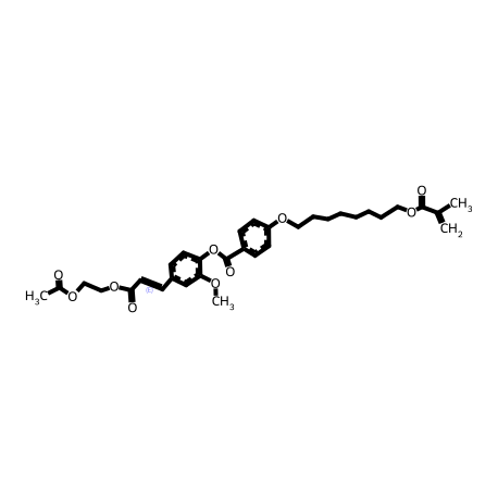 C=C(C)C(=O)OCCCCCCCCOc1ccc(C(=O)Oc2ccc(/C=C/C(=O)OCCOC(C)=O)cc2OC)cc1